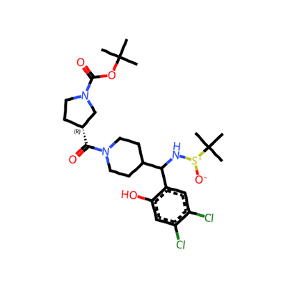 CC(C)(C)OC(=O)N1CC[C@@H](C(=O)N2CCC(C(N[S+]([O-])C(C)(C)C)c3cc(Cl)c(Cl)cc3O)CC2)C1